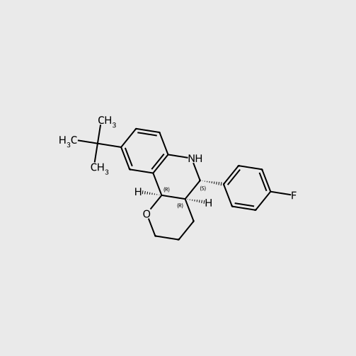 CC(C)(C)c1ccc2c(c1)[C@@H]1OCCC[C@@H]1[C@@H](c1ccc(F)cc1)N2